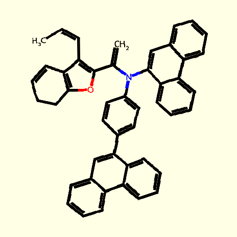 C=C(c1oc2c(c1/C=C\C)C=CCC2)N(c1ccc(-c2cc3ccccc3c3ccccc23)cc1)c1cc2ccccc2c2ccccc12